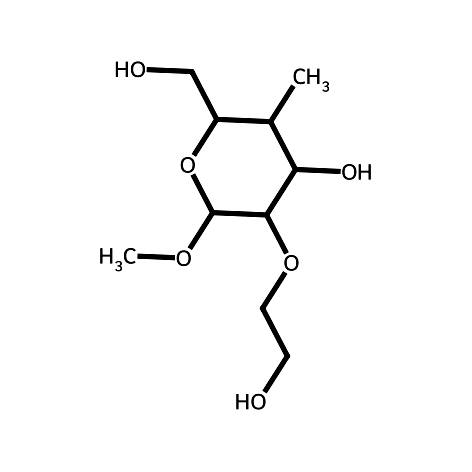 COC1OC(CO)C(C)C(O)C1OCCO